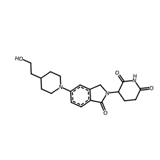 O=C1CCC(N2Cc3cc(N4CCC(CCO)CC4)ccc3C2=O)C(=O)N1